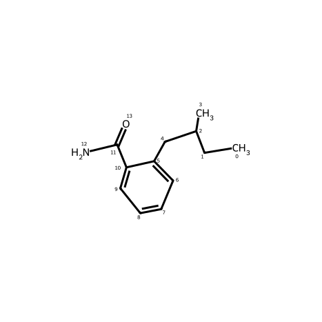 CCC(C)Cc1ccccc1C(N)=O